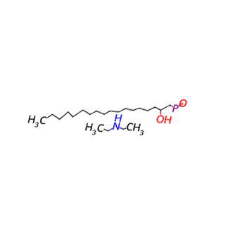 CCCCCCCCCCCCCCCCC(O)CP=O.CCNCC